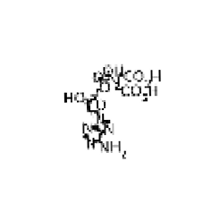 Nc1ncnc2c1ncn2[C@H]1C[C@H](O)[C@@H](COP(=O)(O)N(CC(=O)O)CC(=O)O)O1